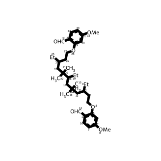 CCC(CCOc1cc(OC)ccc1C=O)CC(C)(C)CC(CC)C(C)(C)CC(CC)CCOc1cc(OC)ccc1C=O